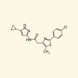 Cc1sc(-c2ccc(Cl)cc2)nc1CC(=O)Nc1cc(C2CC2)[nH]n1